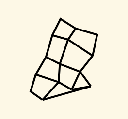 C1C2CC3C24C1C1C2CC5C6C7C52C14C637